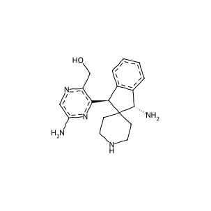 Nc1cnc(CO)c([C@H]2c3ccccc3[C@H](N)C23CCNCC3)n1